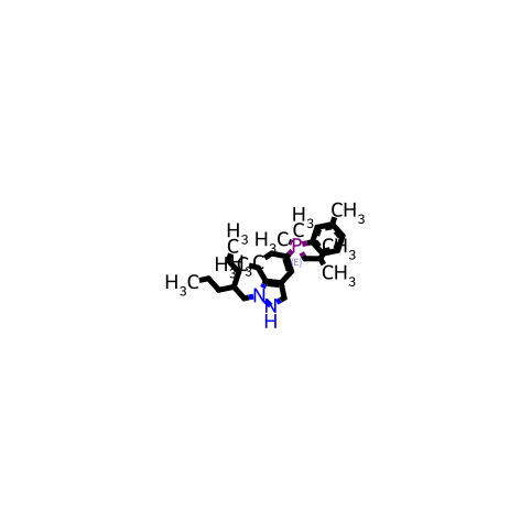 CCCC(CCC)CN1NCC(/C=C(\CC)P(C)(C)(CC(C)C)c2cccc(C)c2)=C1CC